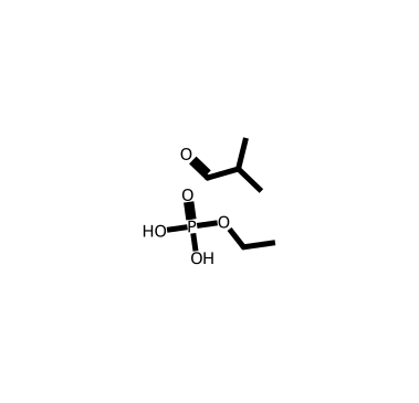 CC(C)C=O.CCOP(=O)(O)O